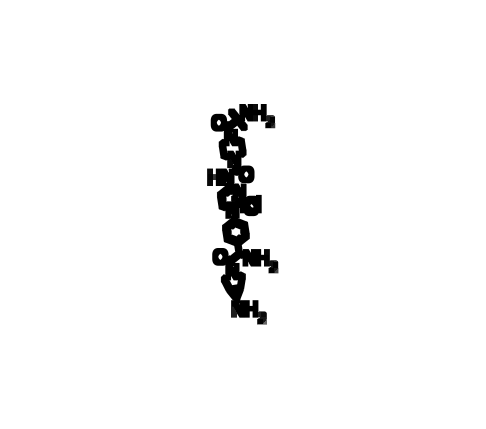 CC(C)(N)C(=O)N1CCN(C(=O)Nc2ccn(-c3ccc(C(N)C(=O)N4CC5C(N)C5C4)cc3)c(=O)n2)CC1.Cl